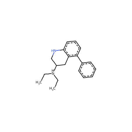 CC[SiH](CC)C1CNc2cccc(-c3ccccc3)c2C1